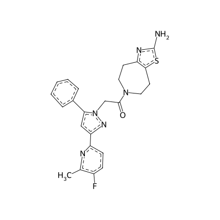 Cc1nc(-c2cc(-c3ccccc3)n(CC(=O)N3CCc4nc(N)sc4CC3)n2)ccc1F